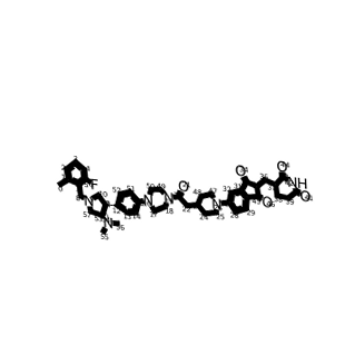 Cc1cccc(F)c1CN1C[C@H](c2ccc(N3CCN(C(=O)CC4CCN(c5ccc6c(c5)C(=O)C(CC5CCC(=O)NC5=O)C6=O)CC4)CC3)cc2)[C@@H](N(C)C)C1